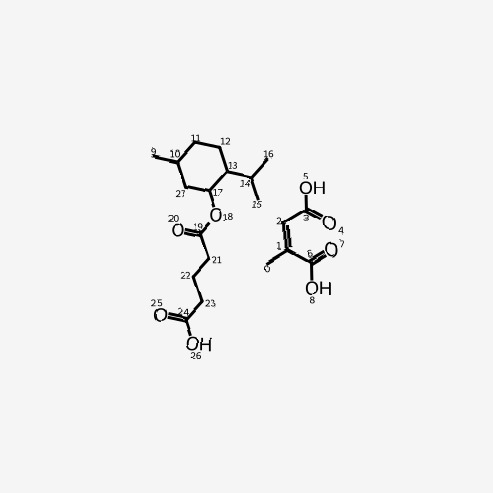 C/C(=C/C(=O)O)C(=O)O.CC1CCC(C(C)C)C(OC(=O)CCCC(=O)O)C1